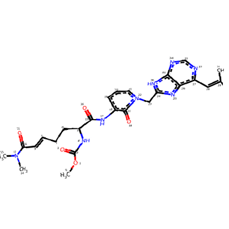 COC(=O)N[C@@H](CC/C=C/C(=O)N(C)C)C(=O)Nc1cccn(Cc2nc3c(C=C(C)C)ncnc3[nH]2)c1=O